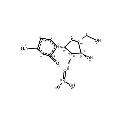 Nc1ccn([C@@H]2S[C@H](CO)[C@@H](O)[C@@H]2F)c(=O)n1.O=[N+]([O-])O